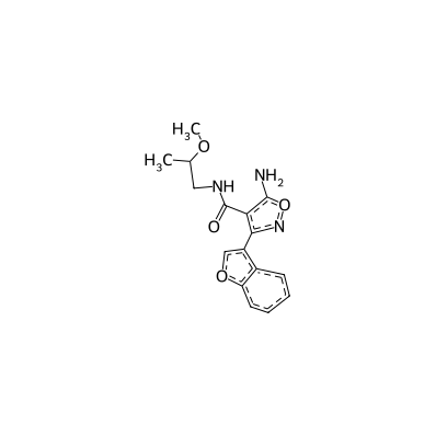 COC(C)CNC(=O)c1c(-c2coc3ccccc23)noc1N